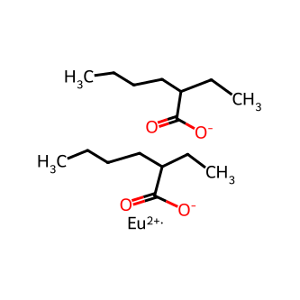 CCCCC(CC)C(=O)[O-].CCCCC(CC)C(=O)[O-].[Eu+2]